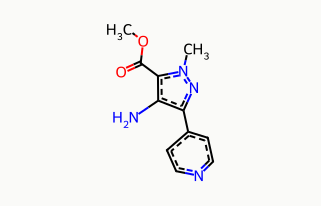 COC(=O)c1c(N)c(-c2ccncc2)nn1C